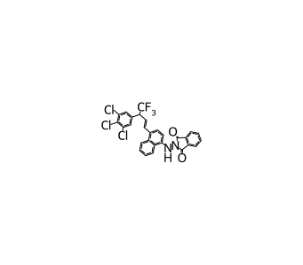 O=C1c2ccccc2C(=O)N1Nc1ccc(/C=C/C(c2cc(Cl)c(Cl)c(Cl)c2)C(F)(F)F)c2ccccc12